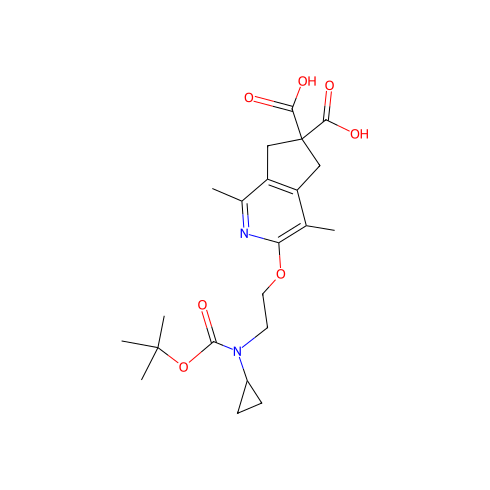 Cc1nc(OCCN(C(=O)OC(C)(C)C)C2CC2)c(C)c2c1CC(C(=O)O)(C(=O)O)C2